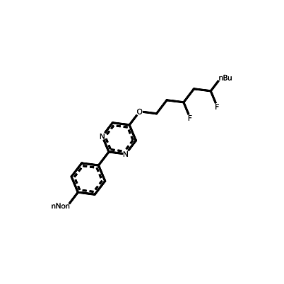 CCCCCCCCCc1ccc(-c2ncc(OCCC(F)CC(F)CCCC)cn2)cc1